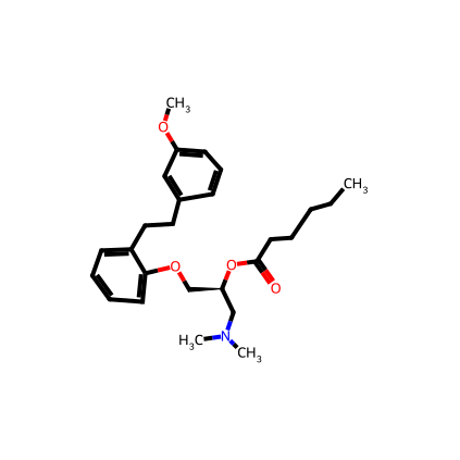 CCCCCC(=O)O[C@H](COc1ccccc1CCc1cccc(OC)c1)CN(C)C